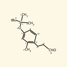 Cc1cc(O[Si](C)(C)C(C)(C)C)ccc1CCC=O